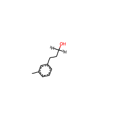 [2H]C([2H])(O)CCc1cccc(C)c1